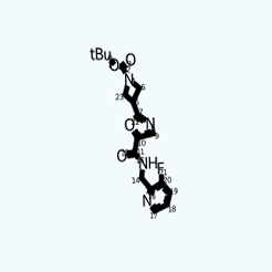 CC(C)(C)OC(=O)N1CC(c2ncc(C(=O)NCc3ncccc3F)o2)C1